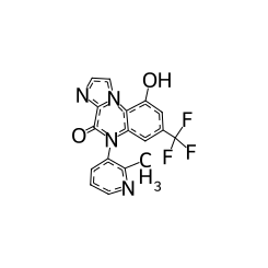 Cc1ncccc1-n1c(=O)c2nccn2c2c(O)cc(C(F)(F)F)cc21